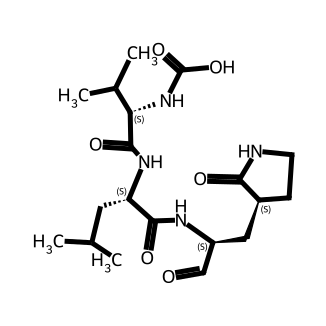 CC(C)C[C@H](NC(=O)[C@@H](NC(=O)O)C(C)C)C(=O)N[C@H](C=O)C[C@@H]1CCNC1=O